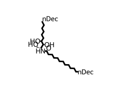 CCCCCCCCCCCCCCCCCCCCCC(=O)N[C@H](CO)[C@H](O)C(O)CCCCCCCCCCCCCCCC